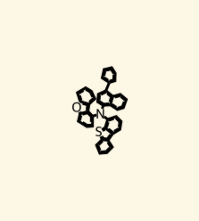 c1ccc(-c2ccc(N(c3cccc4c3sc3ccccc34)c3cccc4oc5ccccc5c34)c3ccccc23)cc1